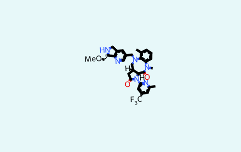 COC[C@@H]1NCc2cc(CN3C[C@H]4CC(=O)N(c5cc(C(F)(F)F)cc(C)n5)[C@@H]4C(=O)N(C)c4cccc(C)c43)cnc21